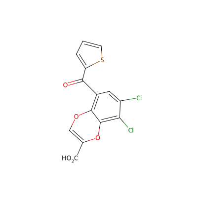 O=C(O)C1=COc2c(C(=O)c3cccs3)cc(Cl)c(Cl)c2O1